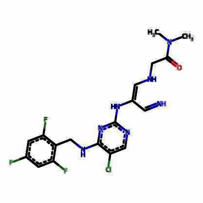 CN(C)C(=O)CN/C=C(\C=N)Nc1ncc(Cl)c(NCc2c(F)cc(F)cc2F)n1